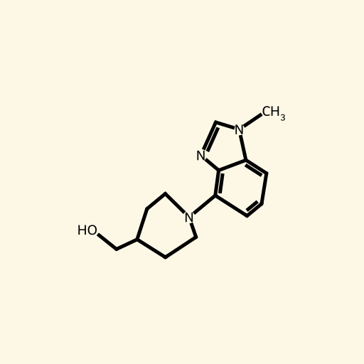 Cn1cnc2c(N3CCC(CO)CC3)cccc21